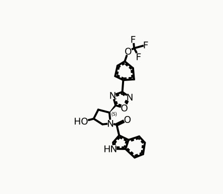 O=C(c1c[nH]c2ccccc12)N1CC(O)C[C@H]1c1nc(-c2ccc(OC(F)(F)F)cc2)no1